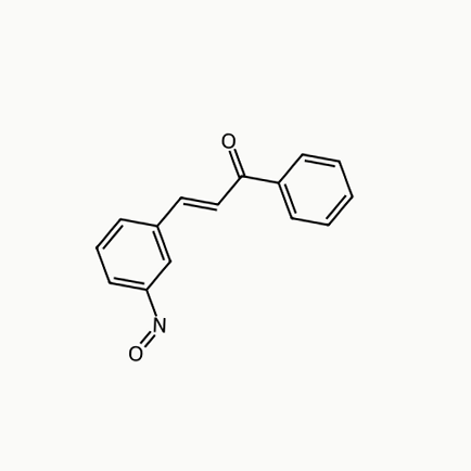 O=Nc1cccc(/C=C/C(=O)c2ccccc2)c1